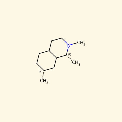 C[C@@H]1CCC2CCN(C)[C@H](C)C2C1